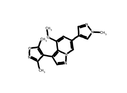 COc1cc(-c2cnn(C)c2)cn2ncc(-c3c(C)noc3C)c12